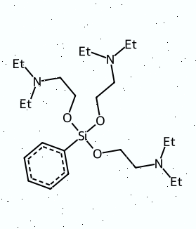 CCN(CC)CCO[Si](OCCN(CC)CC)(OCCN(CC)CC)c1ccccc1